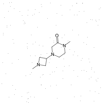 CN1CC(N2CCN(C)C(=O)C2)C1